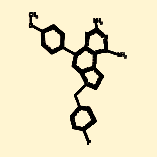 COc1ccc(-c2cc3c(ccn3Cc3ccc(F)cc3)c3c(N)nc(N)nc23)cc1